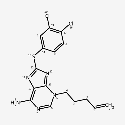 C=CCCCn1cnc(N)c2nc(Sc3ccc(Cl)c(Cl)c3)nc1-2